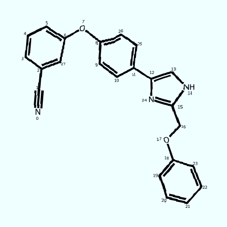 N#Cc1cccc(Oc2ccc(-c3c[nH]c(COc4ccccc4)n3)cc2)c1